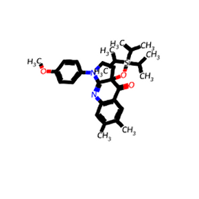 COc1ccc(N2CCC3(O[Si](C(C)C)(C(C)C)C(C)C)C(=O)c4cc(C)c(C)cc4N=C23)cc1